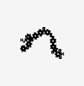 Nc1ncnc2c1c(-c1ccc(Oc3ccccc3)cc1)nn2C1CCN(C2CCN(C(=O)N3CCN(CCCN4CCC(c5ccc6c(c5)CN(C5CCC(=O)NC5=O)C6=O)CC4)CC3)CC2)CC1